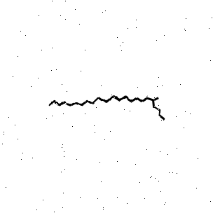 CCCCCCCCCCCCCCCCC[CH]C(C)CCCC